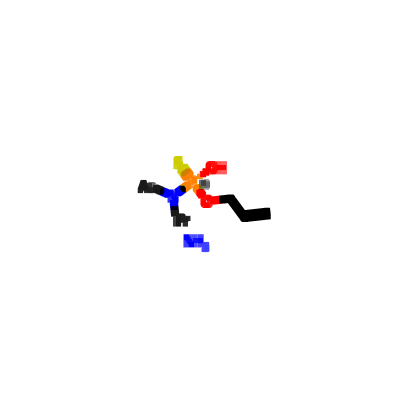 C=CCO[P@](O)(=S)N(C(C)=O)C(C)C.N